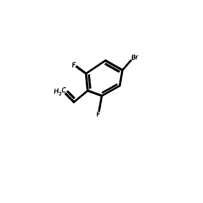 C=Cc1c(F)cc(Br)cc1F